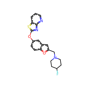 FC1CCN(Cc2cc3cc(Oc4nc5ncccc5s4)ccc3o2)CC1